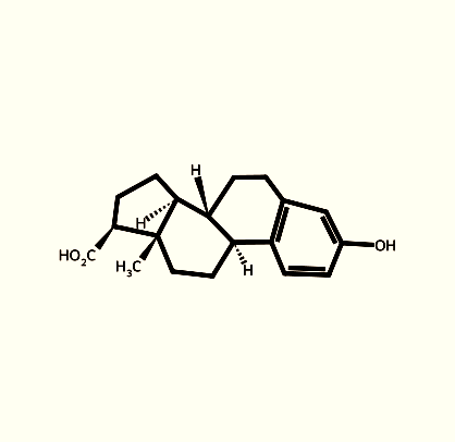 C[C@]12CC[C@@H]3c4ccc(O)cc4CC[C@H]3[C@@H]1CC[C@@H]2C(=O)O